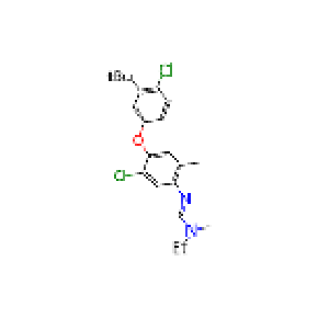 CCN(C)/C=N/c1cc(Cl)c(Oc2ccc(Cl)c(C(C)(C)C)c2)cc1C